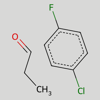 CCC=O.Fc1ccc(Cl)cc1